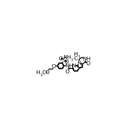 COCCOc1ccc(NC(=O)c2ccc3cc4n(c3n2)[C@H](C)CNC4=O)c(S(N)(=O)=O)c1